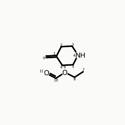 C=C1CCNCC1.CCOC=O